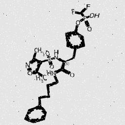 Cc1noc(C)c1S(=O)(=O)N[C@@H](Cc1ccc(OP(=O)(O)C(F)F)cc1)C(=O)NCCCCc1ccccc1